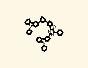 c1ccc(-c2nc(-c3ccc4c(c3)c3ccccc3n4-c3ccccc3)nc3c2oc2ccc(-c4cccc(-c5ccc6c(c5)c5ccccc5n6-c5ccccc5)c4)cc23)cc1